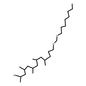 CCCCCCCCOCOCCCC(C)CC(C)CC(C)CC(C)CC(C)Cl